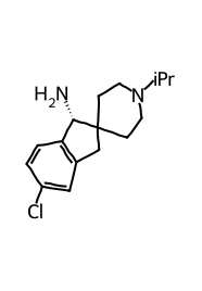 CC(C)N1CCC2(CC1)Cc1cc(Cl)ccc1[C@@H]2N